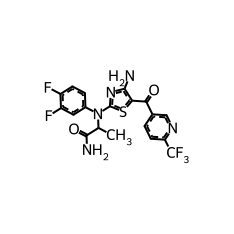 CC(C(N)=O)N(c1ccc(F)c(F)c1)c1nc(N)c(C(=O)c2ccc(C(F)(F)F)nc2)s1